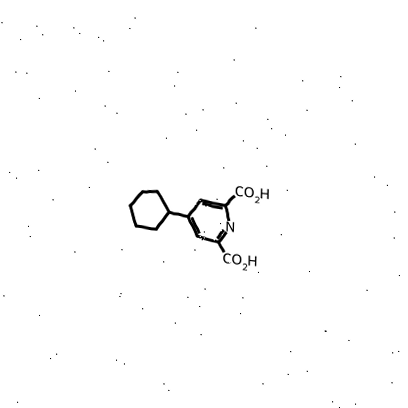 O=C(O)c1cc(C2CCCCC2)cc(C(=O)O)n1